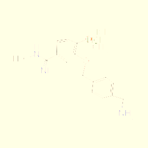 CNC(=N)c1ccc(OC)c(OCc2ccc(CN)cc2)c1.Cl.Cl